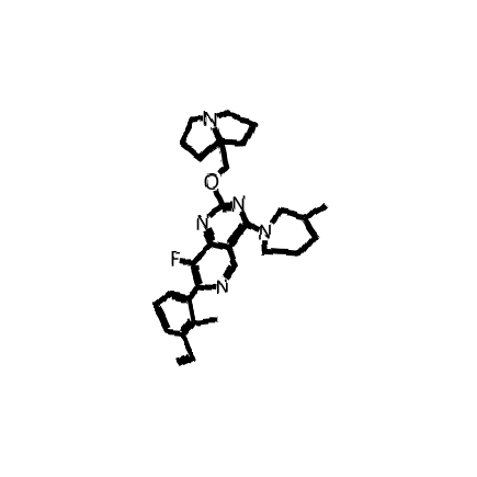 C=Cc1cccc(-c2ncc3c(N4CCCC(C)C4)nc(OCC45CCCN4CCC5)nc3c2F)c1C